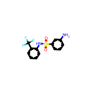 Nc1cccc(S(=O)(=O)Nc2ccccc2C(F)(F)F)c1